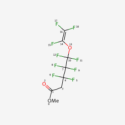 COC(=O)CC(F)(F)C(F)(F)C(F)(F)OC(F)=C(F)F